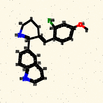 COc1ccc(C=C2CCCN=C2c2ccc3ncccc3c2)c(F)c1